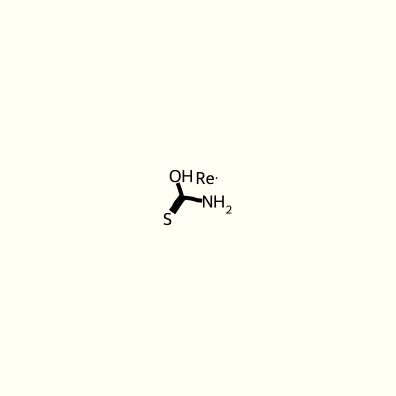 NC(O)=S.[Re]